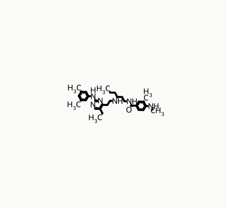 CCCC(CCNC(=O)c1ccc(NC)c(C)c1)NCCc1nc(Nc2cc(C)cc(C)c2)ncc1CC